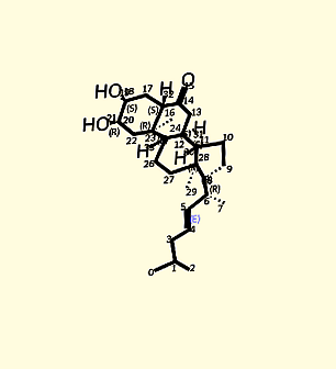 CC(C)C/C=C/[C@@H](C)[C@H]1CC[C@H]2[C@@H]3CC(=O)[C@H]4C[C@H](O)[C@H](O)C[C@]4(C)[C@H]3CC[C@]12C